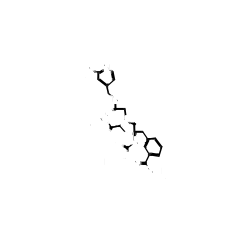 COC(=O)CC[C@](Cc1cccc(C(=N)N)c1)(NC(=O)OC)C(=O)NCC(=O)NCc1ccnc(N)c1